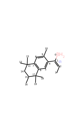 B/C(=C/C)c1cc2c(cc1C)C(C)(C)CC(C)C2(C)C